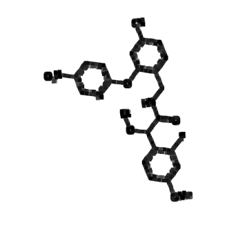 CCOC(C(=O)NCc1ccc(C#N)cc1Oc1ccc([N+](=O)[O-])cn1)c1ccc(OC)cc1F